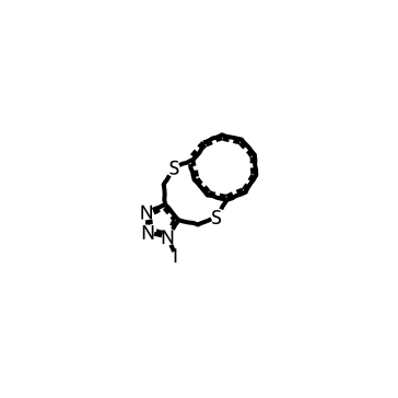 In1nnc2c1CSc1ccccccc(cc1)SC2